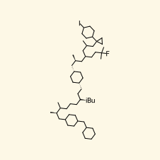 CC[C@H](C)C(CCCC(C)[C@H](C)CC1CCC(CC2CCCCC2)CC1)CC[C@H]1CC[C@@H](C[C@@H](C)CC(CCC(C)(C)F)CC(C)CC2(C3CCC(I)CC3)CC2)CC1